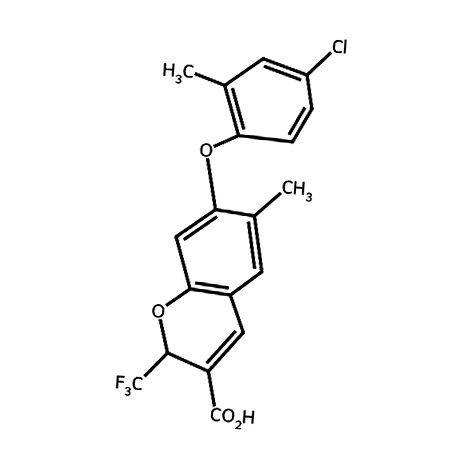 Cc1cc(Cl)ccc1Oc1cc2c(cc1C)C=C(C(=O)O)C(C(F)(F)F)O2